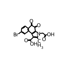 Cc1c(C(=O)O)c2c(n1CC(=O)O)C(=O)C(=O)c1ccc(Br)cc1-2